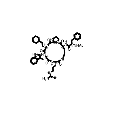 CC(=O)N[C@@H](Cc1ccccc1)C(=O)N[C@H]1CCCNC(=O)[C@H](CCCNC(=N)N)NC(=O)[C@H](Cc2c[nH]c3ccccc23)NC(=O)[C@@H](CCC2CCCCC2)NC(=O)[C@@H]2CCCN2C1=O